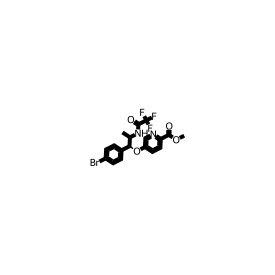 COC(=O)c1ccc(O[C@H](c2ccc(Br)cc2)C(C)NC(=O)C(F)(F)F)cn1